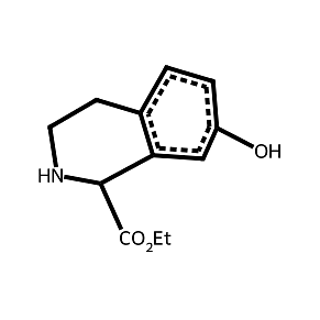 CCOC(=O)C1NCCc2ccc(O)cc21